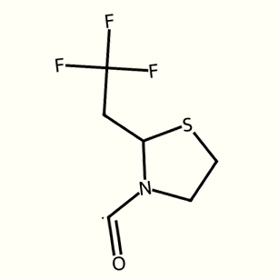 O=[C]N1CCSC1CC(F)(F)F